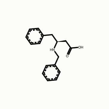 O=C(O)C[C@H](Cc1ccccc1)NCc1ccccc1